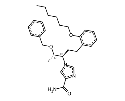 CCCCCCOc1ccccc1CC[C@H]([C@H](C)OCc1ccccc1)n1cnc(C(N)=O)c1